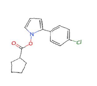 O=C(On1cccc1-c1ccc(Cl)cc1)C1CCCC1